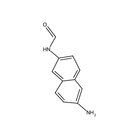 Nc1ccc2cc(NC=O)ccc2c1